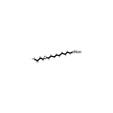 CCCCCCCCCCCCCCCCCCOCCCI